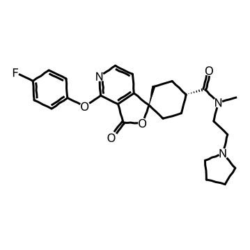 CN(CCN1CCCC1)C(=O)[C@H]1CC[C@@]2(CC1)OC(=O)c1c(Oc3ccc(F)cc3)nccc12